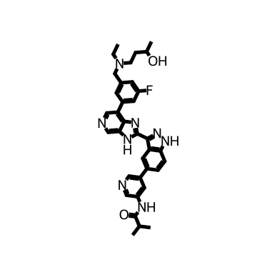 CCN(CCC(C)O)Cc1cc(F)cc(-c2cncc3[nH]c(-c4n[nH]c5ccc(-c6cncc(NC(=O)C(C)C)c6)cc45)nc23)c1